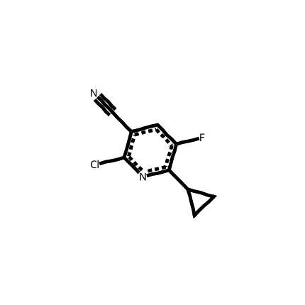 N#Cc1cc(F)c(C2CC2)nc1Cl